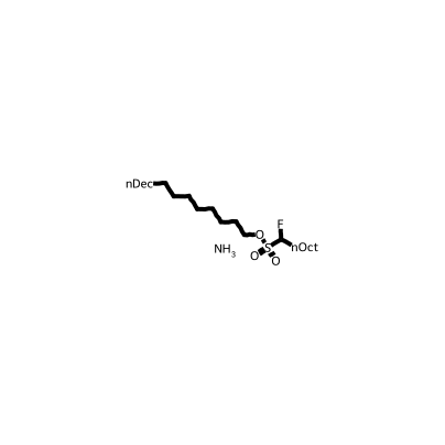 CCCCCCCCCCCCCCCCCCOS(=O)(=O)C(F)CCCCCCCC.N